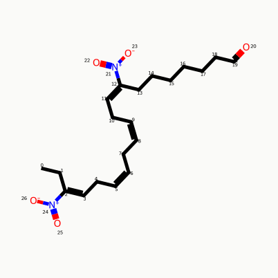 CC/C(=C\C/C=C\C/C=C\C/C=C(\CCCCCC[C]=O)[N+](=O)[O-])[N+](=O)[O-]